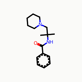 CC(C)(CN1CCCCC1)NC(=O)c1ccccc1